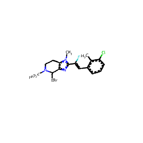 Cc1c(Cl)cccc1C=C(F)c1nc2c(n1C)CCN(C(=O)O)C2C(C)(C)C